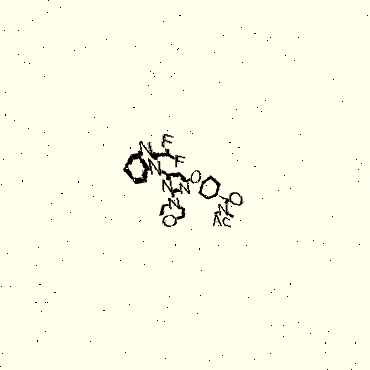 CC(=O)CN(C)C(=O)[C@H]1CC[C@H](Oc2cc(-n3c(C(F)F)nc4ccccc43)nc(N3CCOCC3)n2)CC1